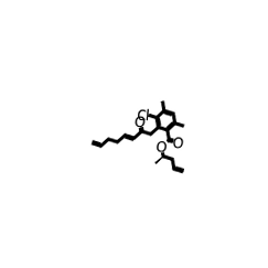 C=CCC/C=C/C(=O)Cc1c(Cl)c(C)cc(C)c1C(=O)O[C@H](C)CC=C